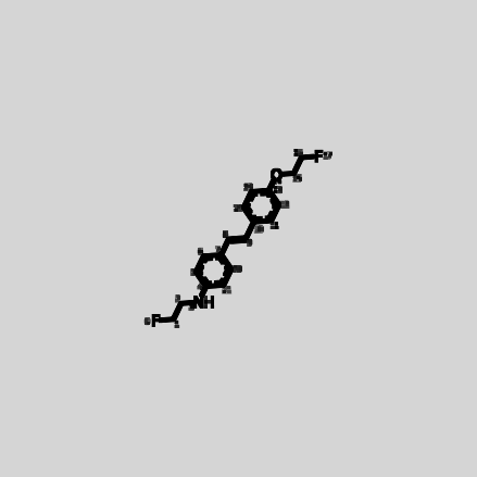 FCCNc1ccc(/C=C/c2ccc(OCCF)cc2)cc1